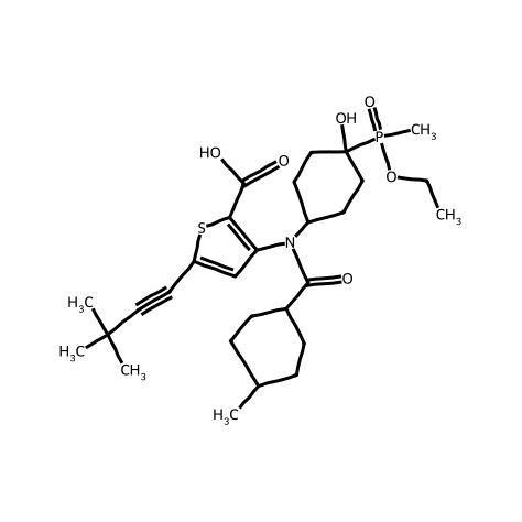 CCOP(C)(=O)C1(O)CCC(N(C(=O)C2CCC(C)CC2)c2cc(C#CC(C)(C)C)sc2C(=O)O)CC1